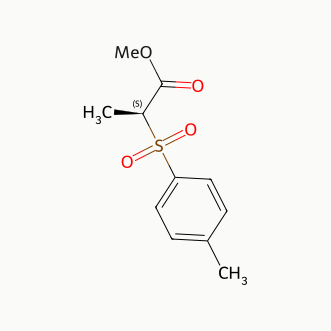 COC(=O)[C@H](C)S(=O)(=O)c1ccc(C)cc1